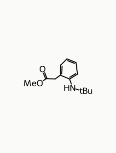 COC(=O)Cc1ccccc1NC(C)(C)C